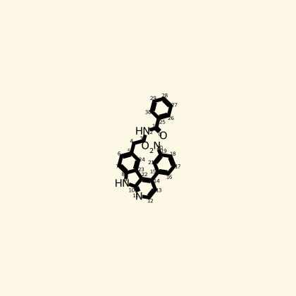 O=C(NCCc1ccc2[nH]c3nccc(-c4cccc([N+](=O)[O-])c4)c3c2c1)c1ccccc1